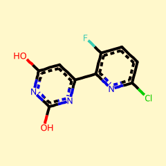 Oc1cc(-c2nc(Cl)ccc2F)nc(O)n1